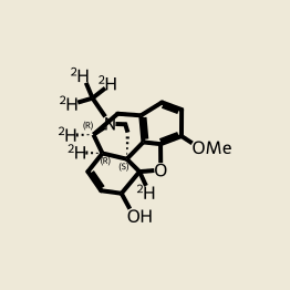 [2H]C([2H])([2H])N1CC[C@]23c4c5ccc(OC)c4OC2([2H])C(O)C=C[C@@]3([2H])[C@@]1([2H])C5